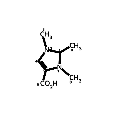 CC1N(C)C=C(C(=O)O)N1C